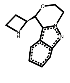 c1ccc2c3n(nc2c1)CCOC3[C@@H]1CCN1